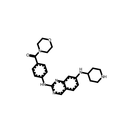 O=C(c1ccc(Nc2ncc3ccc(NC4CCNCC4)cc3n2)cc1)N1CCOCC1